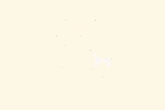 O=C([O-])c1cccc2c1cnn2Cc1cc(Cl)ccc1OCc1ccccc1Cl.[Na+]